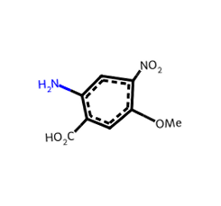 COc1cc(C(=O)O)c(N)cc1[N+](=O)[O-]